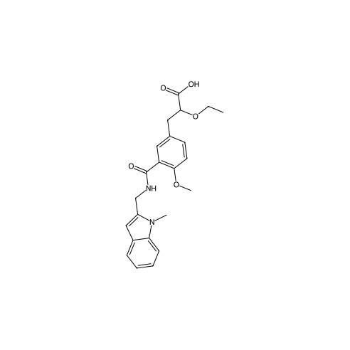 CCOC(Cc1ccc(OC)c(C(=O)NCc2cc3ccccc3n2C)c1)C(=O)O